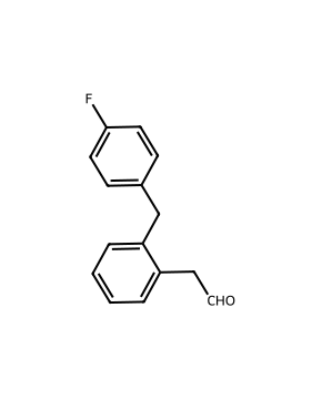 O=CCc1ccccc1Cc1ccc(F)cc1